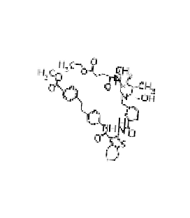 CCOC(=O)CCC(=O)N(C)CCN(Cc1cccc(C(=O)Nc2sc3c(c2C(=O)Nc2ccc(CCc4ccc(C(=O)OC)cc4)cc2)CCCC3)c1)[C@@H](CO)C(C)C